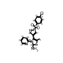 CC1=C(c2cnn(S(=O)(=O)c3ccc(Cl)cc3)c2)N(c2ccccn2)C(N)S1